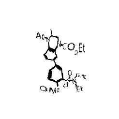 CCOC(=O)N1C[C@H](C)N(C(C)=O)c2ccc(-c3ccc(OC)c(S(=O)(=O)N(CC)CC)c3)cc21